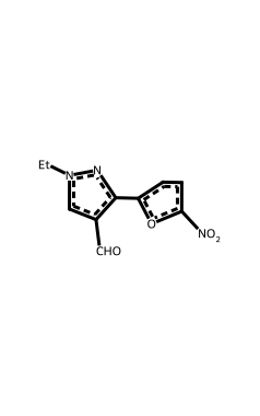 CCn1cc(C=O)c(-c2ccc([N+](=O)[O-])o2)n1